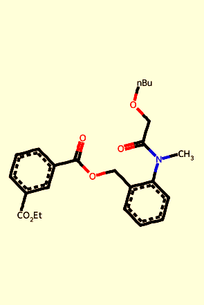 CCCCOCC(=O)N(C)c1ccccc1COC(=O)c1cccc(C(=O)OCC)c1